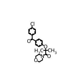 CC(C)(Oc1ccc(C(=O)c2ccc(Cl)cc2)cc1)C(=O)N1CCOCC1